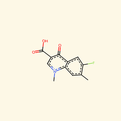 Cc1cc2c(cc1F)c(=O)c(C(=O)O)cn2C